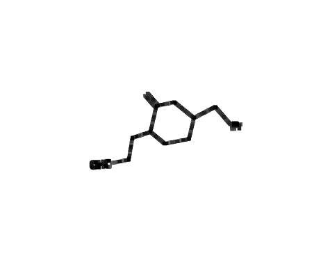 C=C1CC(CC(C)C)CCC1CCC=O